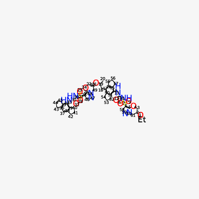 CCOC1COc2c(S(=O)(=O)NC(=O)Nc3c4c(c(CC(C)OC5COc6c(S(=O)(=O)NC(=O)Nc7c8c(cc9c7CCC9)CCC8)cnn6C5)c5c3CCC5)CCC4)cnn2C1